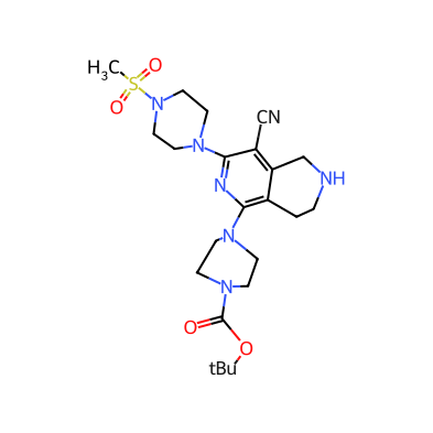 CC(C)(C)OC(=O)N1CCN(c2nc(N3CCN(S(C)(=O)=O)CC3)c(C#N)c3c2CCNC3)CC1